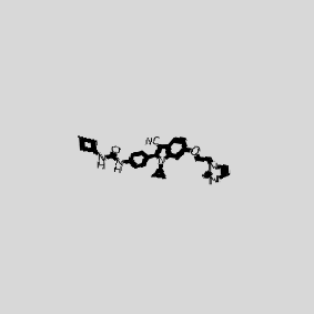 N#Cc1c(-c2ccc(NC(=O)NC3CCC3)cc2)n(C2CC2)c2cc(OCCn3ccnc3)ccc12